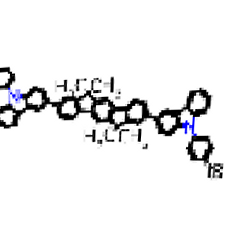 CC(C)(C)c1ccc(-n2c3ccccc3c3cc(-c4ccc5c(c4)C(C)(C)c4cc6c(cc4-5)C(C)(C)c4cc(-c5ccc7c(c5)c5ccccc5n7-c5ccccc5)ccc4-6)ccc32)cc1